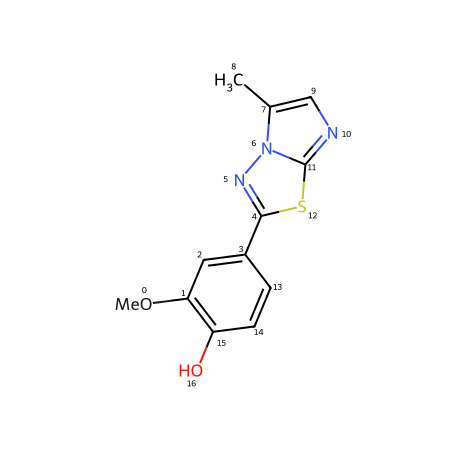 COc1cc(-c2nn3c(C)cnc3s2)ccc1O